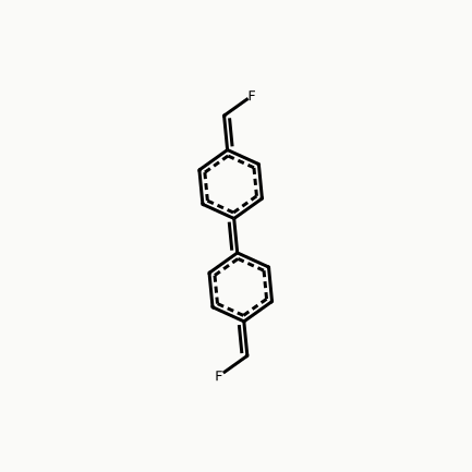 FC=c1ccc(=c2ccc(=CF)cc2)cc1